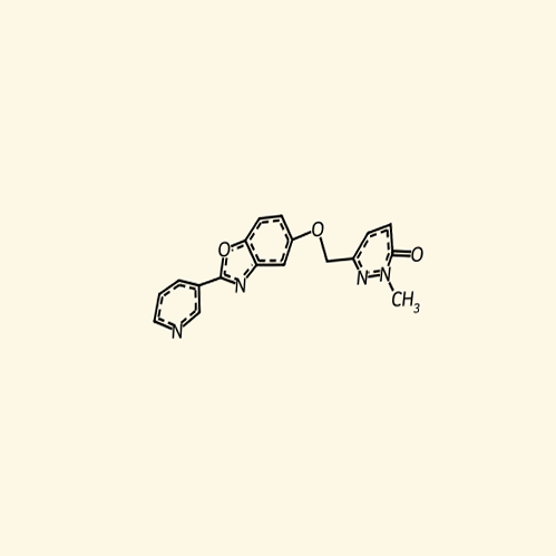 Cn1nc(COc2ccc3oc(-c4cccnc4)nc3c2)ccc1=O